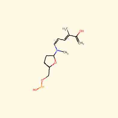 C=C(O)/C(C)=C/C=C\N(C)C1CCC(COPO)O1